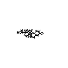 C#C[C@@]1(O)CC[C@H]2[C@@H]3CCC4=CC(=O)CCC4=C3C=C[C@]21CC